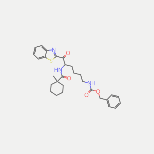 CC1(C(=O)NC(CCCCNC(=O)OCc2ccccc2)C(=O)c2nc3ccccc3s2)CCCCC1